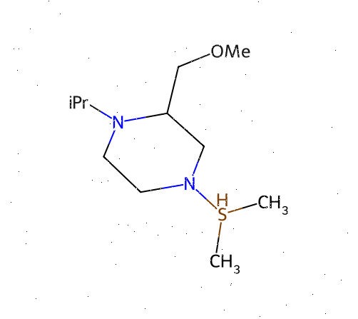 COCC1CN([SH](C)C)CCN1C(C)C